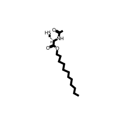 CCCCCCCCCCCCOC(=O)[C@H](CS)NC(C)=O